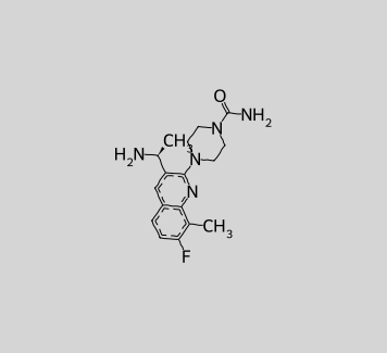 Cc1c(F)ccc2cc([C@H](C)N)c(N3CCN(C(N)=O)CC3)nc12